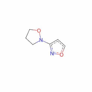 c1cc(N2CCCO2)no1